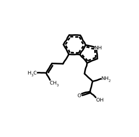 CC(C)=CCc1cccc2[nH]cc(CC(N)C(=O)O)c12